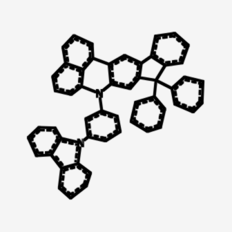 c1ccc(C2(c3ccccc3)c3ccccc3-c3cc4c(cc32)N(c2cccc(-n3c5ccccc5c5ccccc53)c2)c2cccc3cccc-4c23)cc1